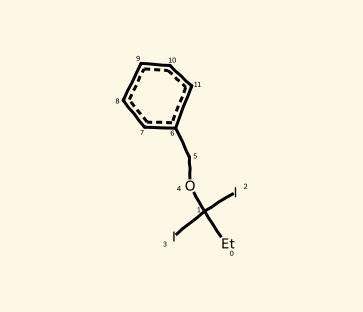 CCC(I)(I)OCc1ccccc1